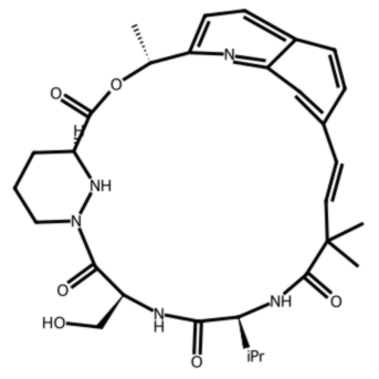 CC(C)[C@@H]1NC(=O)C(C)(C)/C=C/c2ccc3ccc(nc3c2)[C@@H](C)OC(=O)[C@@H]2CCCN(N2)C(=O)[C@H](CO)NC1=O